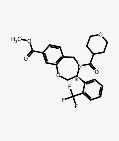 COC(=O)c1ccc2c(c1)OC[C@H](c1ccccc1C(F)(F)F)N(C(=O)C1CCOCC1)C2